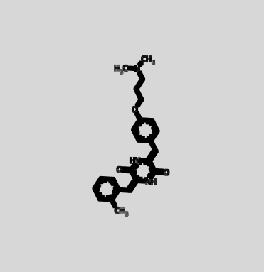 Cc1ccccc1C=c1[nH]c(=O)c(=Cc2ccc(OCCCN(C)C)cc2)[nH]c1=O